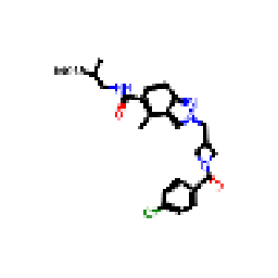 COC(C)CNC(=O)c1ccc2nn(CC3CN(C(=O)c4ccc(Cl)cc4)C3)cc2c1C